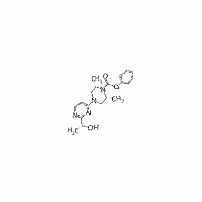 C[C@@H]1CN(c2ccnc([C@@H](C)O)n2)C[C@H](C)N1C(=O)Oc1ccccc1